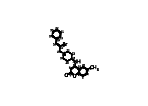 Cc1ccc2oc(=O)cc(NC3CCN(C/C(Br)=C/c4ccccc4)CC3)c2c1